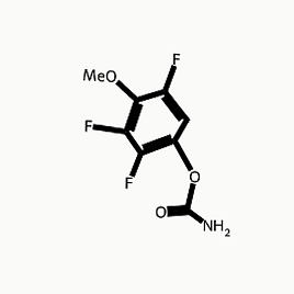 COc1c(F)cc(OC(N)=O)c(F)c1F